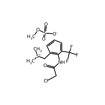 COS(=O)(=O)[O-].C[S+](C)Cc1cccc(C(F)(F)F)c1NC(=O)CCl